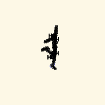 CCCCC/C=C\C/C=C\CCCCCC[C@H](O)CN(CCCSSCCN1CCN(CCOC(=O)CCCCN(CC(O)CCCCCCCCCC)CC(O)CCCCCCCCCC)CC1)C[C@@H](O)CCCCCC/C=C\C/C=C\CCCCC